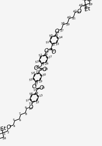 CCC1(COCCCCCCOc2ccc(C(=O)Oc3ccc(S(=O)(=O)c4ccc(OC(=O)c5ccc(OCCCCCCOCC6(CC)COC6)cc5)cc4)cc3)cc2)CCC1